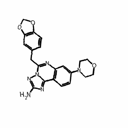 Nc1nc2c3ccc(N4CCOCC4)cc3nc(Cc3ccc4c(c3)OCO4)n2n1